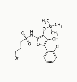 C[Si](C)(C)Oc1c(NS(=O)(=O)CCCBr)oc(-c2ccccc2Cl)c1O